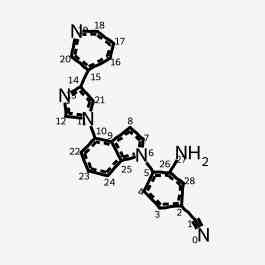 N#Cc1ccc(-n2ccc3c(-n4cnc(-c5cccnc5)c4)cccc32)c(N)c1